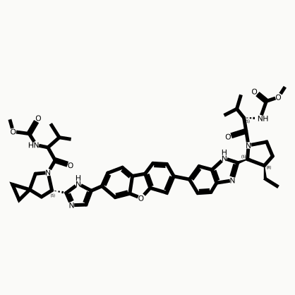 CC[C@@H]1CCN(C(=O)[C@@H](NC(=O)OC)C(C)C)[C@@H]1c1nc2ccc(-c3ccc4c(c3)oc3cc(-c5cnc([C@@H]6CC7(CC7)CN6C(=O)C(NC(=O)OC)C(C)C)[nH]5)ccc34)cc2[nH]1